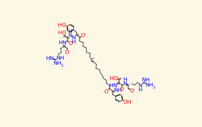 C[C@H](O)[C@H](NN[C@@H](Cc1ccc(O)cc1)C(=O)CCCCCCCCCCCCCCCCCCC(=O)[C@H](Cc1ccc(O)cc1)NN[C@H](C(=O)N[C@@H](C=O)CCCNC(=N)N)[C@H](C)O)C(=O)N[C@@H](C=O)CCCNC(=N)N